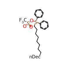 CCCCCCCCCCCCCCCCCCS(OS(=O)(=O)C(F)(F)F)(c1ccccc1)c1ccccc1